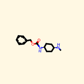 CN[C@H]1CC[C@@H](NC(=O)OCc2ccccc2)CC1